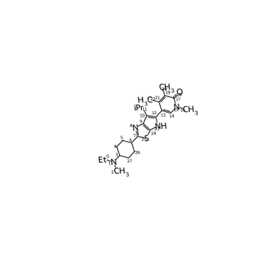 CCN(C)C1CCC(c2nc3c(C(C)C)c(-c4cn(C)c(=O)c(C)c4C)[nH]c3s2)CC1